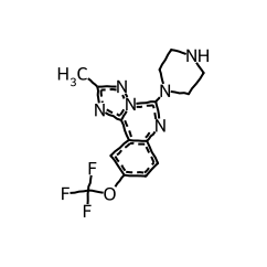 Cc1nc2c3cc(OC(F)(F)F)ccc3nc(N3CCNCC3)n2n1